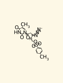 Cc1ccc(S(=O)(=O)OC[C@H]2O[C@@H](n3cc(C)c(=O)[nH]c3=O)C[C@H]2N=[N+]=[N-])cc1